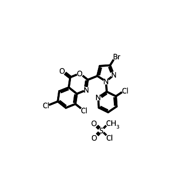 CS(=O)(=O)Cl.O=c1oc(-c2cc(Br)nn2-c2ncccc2Cl)nc2c(Cl)cc(Cl)cc12